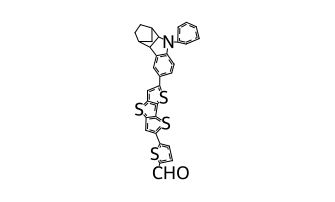 O=Cc1ccc(-c2cc3sc4cc(-c5ccc6c(c5)C5C7CCC(C7)C5N6c5ccccc5)sc4c3s2)s1